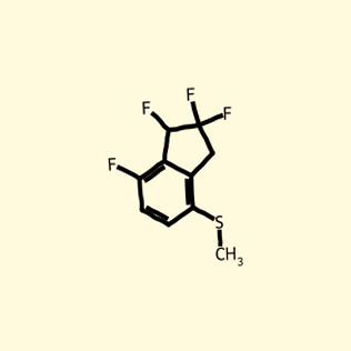 CSc1ccc(F)c2c1CC(F)(F)C2F